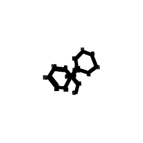 CC[C@]1(N2CCCCC2)C=CC=CC1